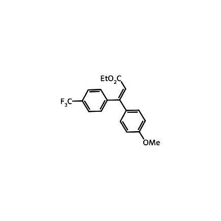 CCOC(=O)C=C(c1ccc(OC)cc1)c1ccc(C(F)(F)F)cc1